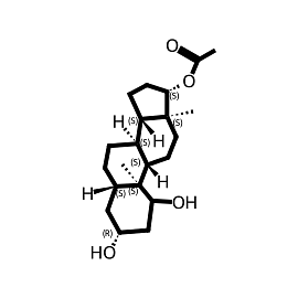 CC(=O)O[C@H]1CC[C@H]2[C@@H]3CC[C@H]4C[C@@H](O)CC(O)[C@]4(C)[C@H]3CC[C@]12C